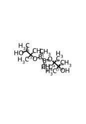 CB(OC(C)(C)C(C)O)B(C)OC(C)(C)C(C)(C)O